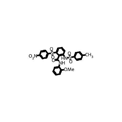 COc1ccccc1NC(=O)c1c(NS(=O)(=O)c2ccc(C)cc2)cccc1S(=O)(=O)c1ccc([N+](=O)[O-])cc1